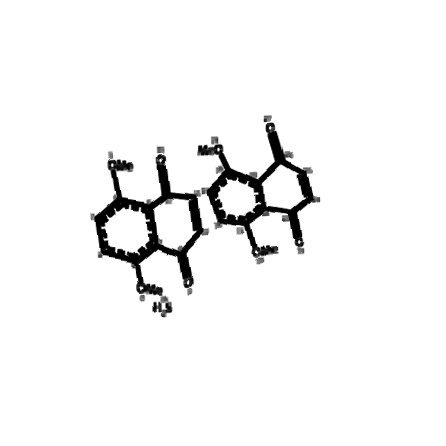 COc1ccc(OC)c2c1C(=O)C=CC2=O.COc1ccc(OC)c2c1C(=O)C=CC2=O.S